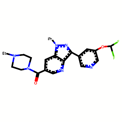 CCN1CCN(C(=O)c2cnc3c(-c4cncc(OC(F)F)c4)nn(C(C)C)c3c2)CC1